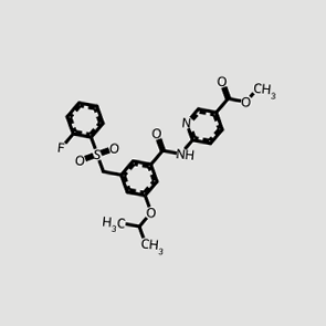 COC(=O)c1ccc(NC(=O)c2cc(CS(=O)(=O)c3ccccc3F)cc(OC(C)C)c2)nc1